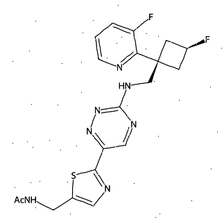 CC(=O)NCc1cnc(-c2cnc(NC[C@]3(c4ncccc4F)C[C@H](F)C3)nn2)s1